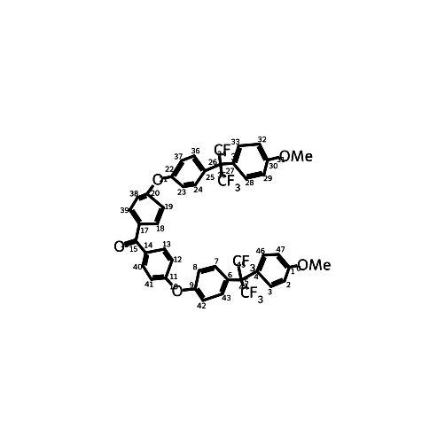 COc1ccc(C(c2ccc(Oc3ccc(C(=O)c4ccc(Oc5ccc(C(c6ccc(OC)cc6)(C(F)(F)F)C(F)(F)F)cc5)cc4)cc3)cc2)(C(F)(F)F)C(F)(F)F)cc1